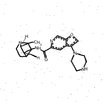 C[C@H]1[C@H](NC(=O)c2cc3c(N4CCNCC4)coc3cn2)C2CCN1CC2